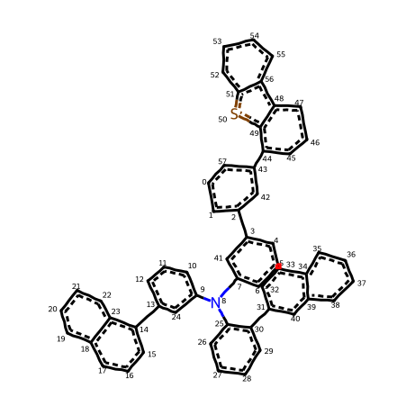 c1cc(-c2cccc(N(c3cccc(-c4cccc5ccccc45)c3)c3ccccc3-c3ccc4ccccc4c3)c2)cc(-c2cccc3c2sc2ccccc23)c1